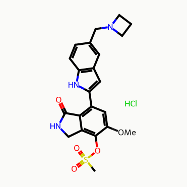 COc1cc(-c2cc3cc(CN4CCC4)ccc3[nH]2)c2c(c1OS(C)(=O)=O)CNC2=O.Cl